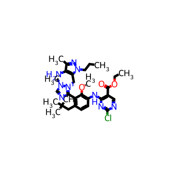 CCCn1nc(C)c(N)c1C[n+]1c(-c2c(CC(C)(C)C)ccc(Nc3nc(Cl)ncc3C(=O)OCC)c2OC)ncn1C